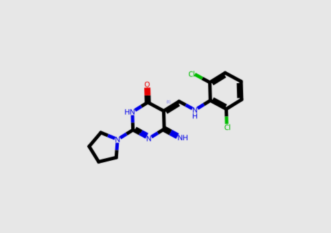 N=C1N=C(N2CCCC2)NC(=O)/C1=C/Nc1c(Cl)cccc1Cl